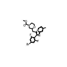 COC(=O)N1CCOC(Cc2c(-c3c(F)cc(Br)cc3F)nc3cc(C)ccn23)C1